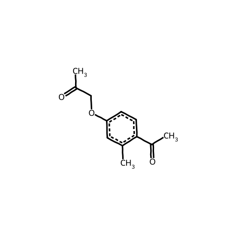 CC(=O)COc1ccc(C(C)=O)c(C)c1